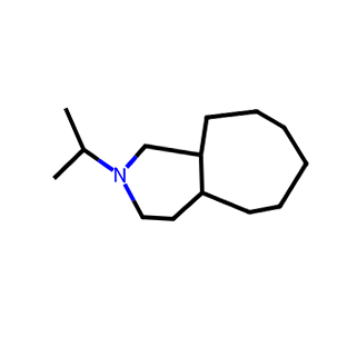 CC(C)N1CCC2CCCCCCC2C1